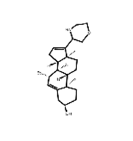 CC[C@H]1C=C2C[C@H](O)CC[C@]2(C)[C@H]2CC[C@]3(C)C(C4COCCN4)=CC[C@H]3[C@H]12